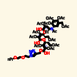 CCCOCCOCCn1cc(CO[C@H](O)/C(OC(C)=O)=C(\OC(C)=O)[C@@H](CCOC(C)=O)O[C@@H](O)/C(OC(C)=O)=C(/OC(C)=O)[C@@H](CCOC(C)=O)O[C@@H](O)/C(=C\[C@@H](CC)N(C(C)=O)[C@H]2C=C(COC(C)=O)[C@@H](OC(C)=O)[C@H](OC(C)=O)[C@H]2OC(C)=O)OC(C)=O)nn1